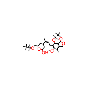 COc1c(C)c2c(c(O[Si](C)(C)C(C)(C)C)c1CC=C(C)C(CCCO[Si](C)(C)C(C)(C)C)CC(=O)O)C(=O)OC2